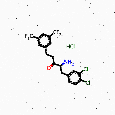 Cl.NC(Cc1ccc(Cl)c(Cl)c1)C(=O)CCc1cc(C(F)(F)F)cc(C(F)(F)F)c1